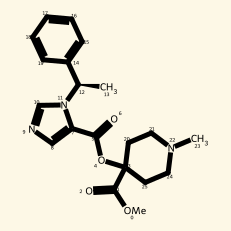 COC(=O)C1(OC(=O)c2cncn2[C@H](C)c2ccccc2)CCN(C)CC1